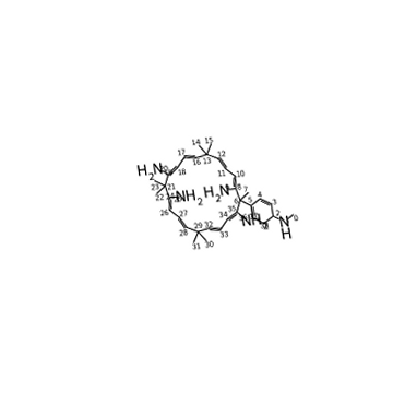 CNC1C=CC(C2(C)/C(N)=C/C=C/C(C)(C)/C=C/C=C(\N)C(C)(C)/C(N)=C/C=C/C(C)(C)/C=C/C=C/2N)=CC1